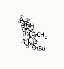 C=C[C@@H]1C[C@]1(NC(=O)[C@@H]1CCCN1C(=O)OC(C)(C)C)C(=O)NS(=O)(=O)C1CC1